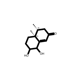 C[C@@H]1CC(=O)C=C2C(O)C(O)CC[C@]21C